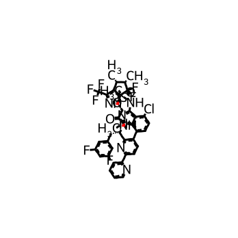 C[C@@H]1c2c(C(F)(F)F)nn(CC(=O)N[C@@H](Cc3cc(F)cc(F)c3)c3nc(-c4ccccn4)ccc3-c3ccc(Cl)c4c(NS(C)(=O)=O)nn(C)c34)c2C(F)(F)[C@@H]1C